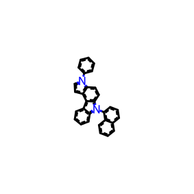 c1ccc(-n2ccc3c4c5ccccc5n(-c5cccc6ccccc56)c4ccc32)cc1